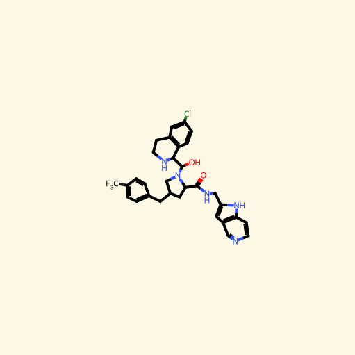 O=C(NCc1cc2cnccc2[nH]1)C1CC(Cc2ccc(C(F)(F)F)cc2)CN1C(O)C1NCCc2cc(Cl)ccc21